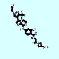 N#CCn1cc(-c2cnc3c(Nc4ccc(C(=O)NCC(=O)N5CC(N)C5)c(Cl)c4)nccn23)c(C(F)(F)F)n1